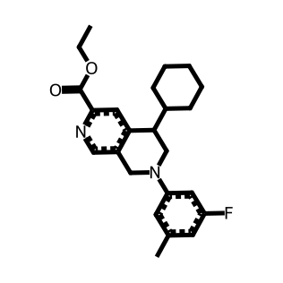 CCOC(=O)c1cc2c(cn1)CN(c1cc(C)cc(F)c1)CC2C1CCCCC1